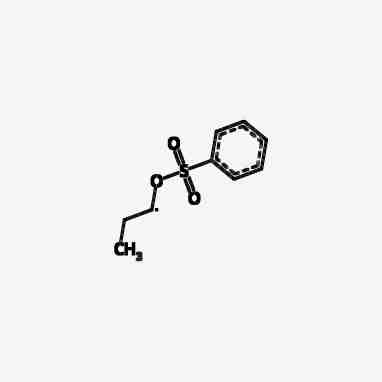 CC[CH]OS(=O)(=O)c1ccccc1